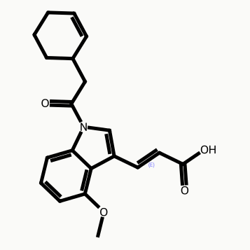 COc1cccc2c1c(/C=C/C(=O)O)cn2C(=O)CC1C=CCCC1